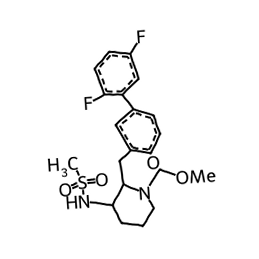 COC(=O)N1CCCC(NS(C)(=O)=O)C1Cc1cccc(-c2cc(F)ccc2F)c1